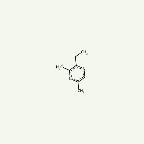 CCc1n[c]c(C)nc1C